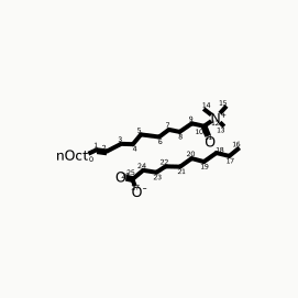 CCCCCCCCC=CCCCCCCCC(=O)[N+](C)(C)C.CCCCCCCCCC(=O)[O-]